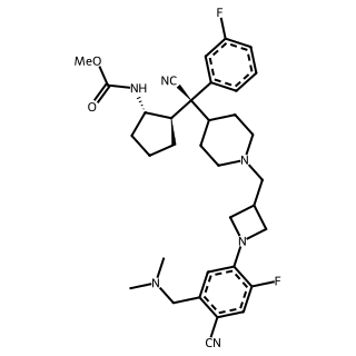 COC(=O)N[C@H]1CCC[C@@H]1[C@](C#N)(c1cccc(F)c1)C1CCN(CC2CN(c3cc(CN(C)C)c(C#N)cc3F)C2)CC1